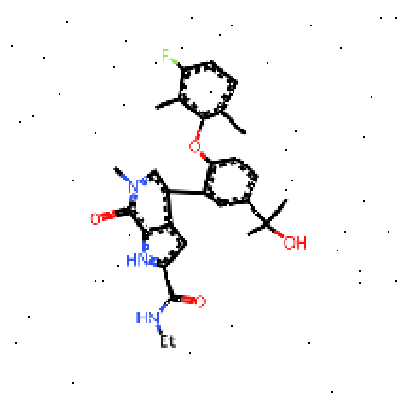 CCNC(=O)c1cc2c(-c3cc(C(C)(C)O)ccc3Oc3c(C)ccc(F)c3C)cn(C)c(=O)c2[nH]1